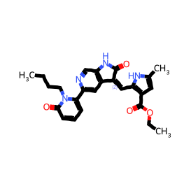 CCCCn1c(-c2cc3c(cn2)NC(=O)/C3=C\c2[nH]c(C)cc2C(=O)OCC)cccc1=O